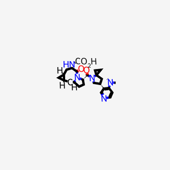 CN(C)c1ccncc1[C@@H]1CN(C(=O)[C@@H]2CC[C@@H]3C[C@H]4C[C@H]4C[C@H](NC(=O)O)C(=O)N32)C2(CC2)C1